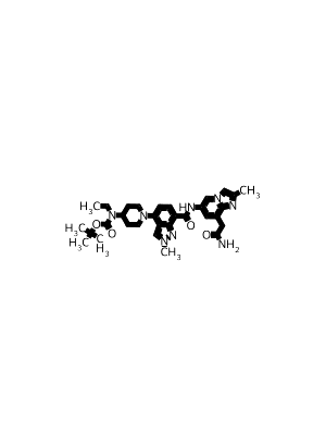 CCN(C(=O)OC(C)(C)C)C1CCN(c2ccc(C(=O)Nc3cc(CC(N)=O)c4nc(C)cn4c3)c3nn(C)cc23)CC1